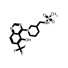 CS(=O)(=O)NCC1CCCN(c2ncnc3ccc(C(F)(F)F)c(O)c23)C1